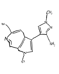 CCn1cc(-c2cn(C)nc2N)c2cc(Br)ncc21